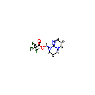 O=C(OCN1CCCN2CCCN=C21)C(F)(F)F